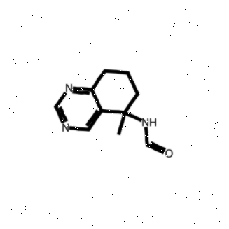 CC1(NC=O)CCCc2ncncc21